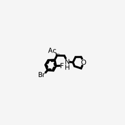 CC(=O)[C@H](CNC1CCOCC1)c1ccc(Br)cc1F